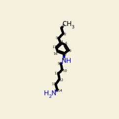 CCCCc1ccc(NCCCCCCN)cc1